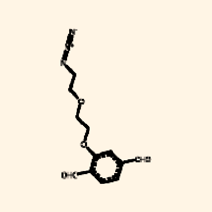 [N-]=[N+]=NCCOCCOc1cc(C=O)ccc1C=O